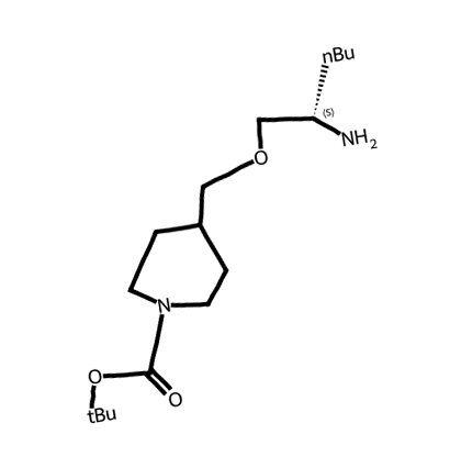 CCCC[C@H](N)COCC1CCN(C(=O)OC(C)(C)C)CC1